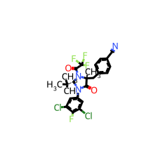 CC(C)(C)[C@H]1N(c2cc(Cl)c(F)c(Cl)c2)C(=O)[C@@](C)(Cc2ccc(C#N)cc2)N1C(=O)C(F)(F)F